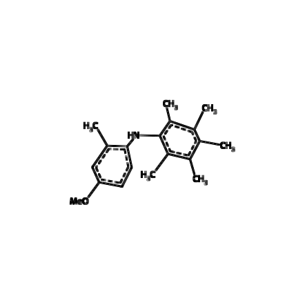 COc1ccc(Nc2c(C)c(C)c(C)c(C)c2C)c(C)c1